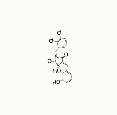 O=C1SC(=Cc2cccc(O)c2O)C(=O)N1Cc1cccc(Cl)c1Cl